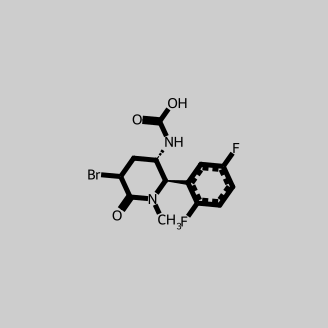 CN1C(=O)C(Br)C[C@H](NC(=O)O)[C@H]1c1cc(F)ccc1F